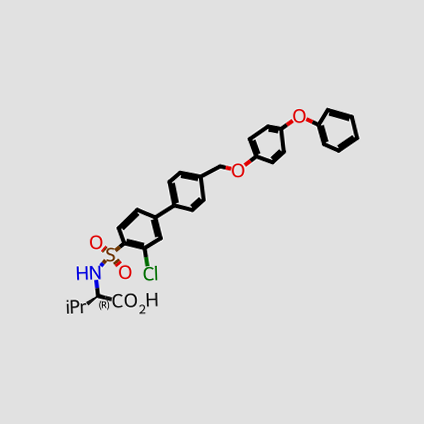 CC(C)[C@@H](NS(=O)(=O)c1ccc(-c2ccc(COc3ccc(Oc4ccccc4)cc3)cc2)cc1Cl)C(=O)O